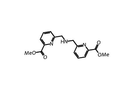 COC(=O)c1cccc(CNCc2cccc(C(=O)OC)n2)n1